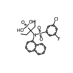 CCC(CC)(N(c1cccc2ccccc12)S(=O)(=O)c1cc(F)cc(Cl)c1)P(=O)(O)O